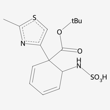 Cc1nc(C2(C(=O)OC(C)(C)C)C=CC=CC2NS(=O)(=O)O)cs1